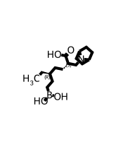 CC[C@H](CCB(O)O)CC[C@@H](CN1C2CCC1CC2)C(=O)O